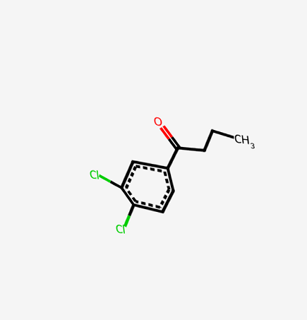 CCCC(=O)c1ccc(Cl)c(Cl)c1